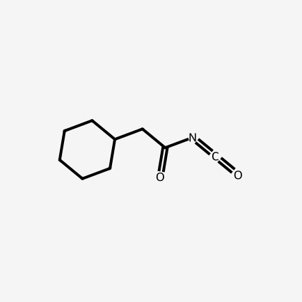 O=C=NC(=O)CC1CCCCC1